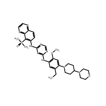 CCc1cc(Nc2ncnc(Nc3ccc4nccnc4c3P(C)(C)=O)n2)c(OC)cc1N1CCC(N2CCOCC2)CC1